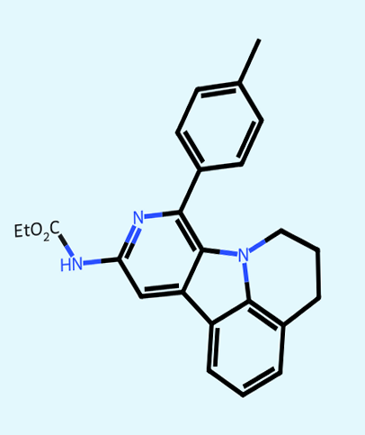 CCOC(=O)Nc1cc2c3cccc4c3n(c2c(-c2ccc(C)cc2)n1)CCC4